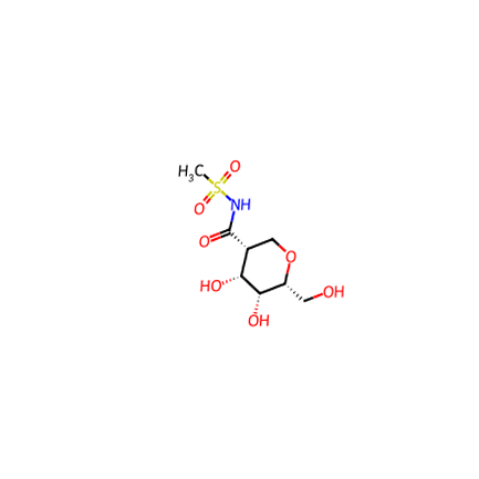 CS(=O)(=O)NC(=O)[C@@H]1CO[C@H](CO)[C@H](O)[C@@H]1O